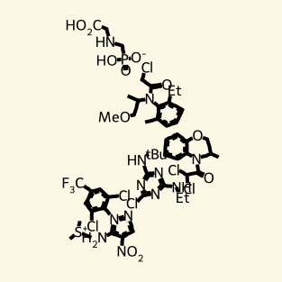 CC1COc2ccccc2N1C(=O)C(Cl)Cl.CCNc1nc(Cl)nc(NC(C)(C)C)n1.CCc1cccc(C)c1N(C(=O)CCl)C(C)COC.C[S+](C)C.Nc1c([N+](=O)[O-])cnn1-c1c(Cl)cc(C(F)(F)F)cc1Cl.O=C(O)CNCP(=O)([O-])O